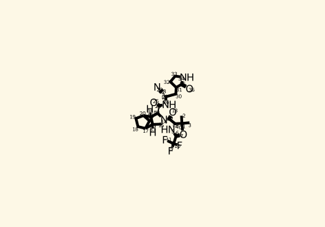 CC(C)(C)[C@H](NC(=O)C(F)(F)F)C(=O)N1C[C@@H]2C3CCC(C3)[C@@H]2[C@H]1C(=O)N[C@H](C#N)CC1CCNC1=O